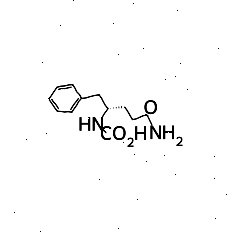 NC(=O)CC[C@@H](Cc1ccccc1)NC(=O)O